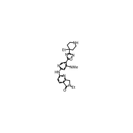 CCN1Cc2nc(Nc3cc(NC)c(-c4nc(C5(CC)CCNCC5)no4)cn3)ccc2C1=O